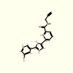 C#CCNC(=O)c1cccc(-c2cnc(-c3cncc(F)c3)s2)n1